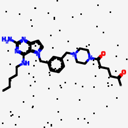 CCCCCNc1nc(N)nc2ccn(Cc3cccc(CN4CCN(C(=O)CCCC(C)=O)CC4)c3)c12